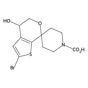 O=C(O)N1CCC2(CC1)OCC(O)c1cc(Br)sc12